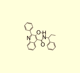 CCC(NC(=O)c1c(OC)c(-c2ccccc2)nc2ccccc12)c1ccccc1